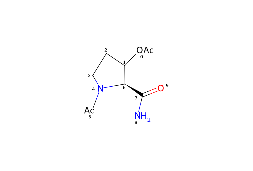 CC(=O)OC1CCN(C(C)=O)[C@@H]1C(N)=O